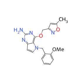 COc1ccccc1Cn1ccc2nc(N)nc(OCc3cc(C)on3)c21